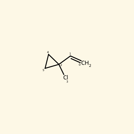 C=CC1(Cl)CC1